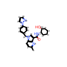 Cc1ccc2c(n1)c(C(=O)N[C@H]1CCCC[C@@H]1O)cn2Cc1ccc(-n2cccn2)cc1